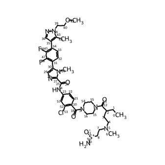 CCC(CCN(C)CC[S+](N)[O-])C(=O)N1CCN(C(=O)c2ccc(NC(=O)c3ncc(-c4ccc(-c5cnn(CCOC)c5C)c(F)c4F)n3C)cc2Cl)CC1